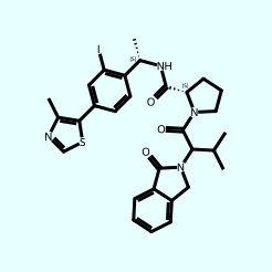 Cc1ncsc1-c1ccc([C@H](C)NC(=O)[C@@H]2CCCN2C(=O)C(C(C)C)N2Cc3ccccc3C2=O)c(I)c1